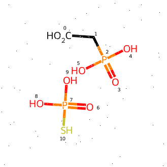 O=C(O)CP(=O)(O)O.O=P(O)(O)S